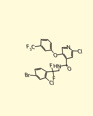 O=C(NCC(F)(F)c1ccc(Br)cc1Cl)c1cc(Cl)ncc1Oc1cccc(C(F)(F)F)c1